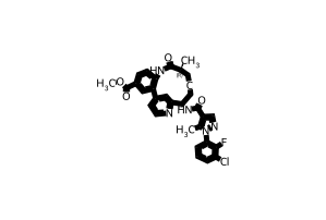 COC(=O)c1ccc2c(c1)-c1ccnc(c1)[C@@H](NC(=O)c1cnn(-c3cccc(Cl)c3F)c1C)CCC[C@@H](C)C(=O)N2